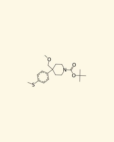 COCC1(c2ccc(SC)cc2)CCN(C(=O)OC(C)(C)C)CC1